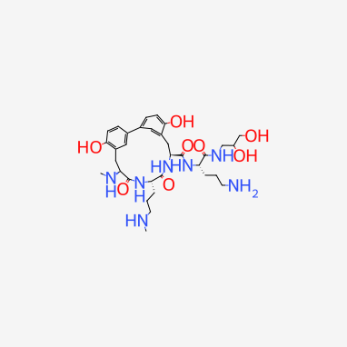 CNCCC[C@@H]1NC(=O)[C@@H](NC)Cc2cc(ccc2O)-c2ccc(O)c(c2)C[C@@H](C(=O)N[C@@H](CCCN)C(=O)NCC(O)CO)NC1=O